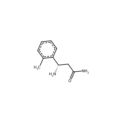 Cc1ccccc1[C@@H](N)CC(N)=O